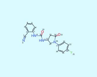 N#Cc1ccccc1NC(=O)NC1CC(=O)N(c2ccc(F)cc2)C1